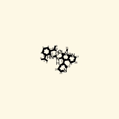 CC(C)c1cccc(C(C)C)c1NC(=O)Nc1c(-c2cccnc2)c2cccnc2n(C)c1=O